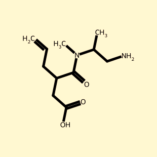 C=CCC(CC(=O)O)C(=O)N(C)C(C)CN